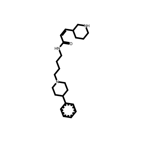 O=C(/C=C\C1CCCNC1)NCCCCN1CCC(c2ccccc2)CC1